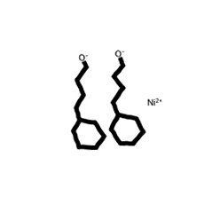 [Ni+2].[O-]CCCCC1CCCCC1.[O-]CCCCC1CCCCC1